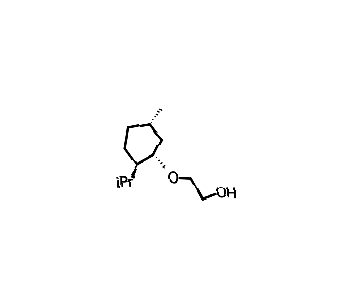 CC(C)[C@H]1CC[C@H](C)C[C@@H]1OCCO